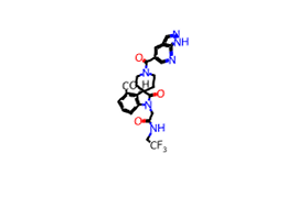 O=C(CN1C(=O)C2(CCN(C(=O)c3cnc4[nH]ncc4c3)CC2)c2c(C(=O)O)cccc21)NCC(F)(F)F